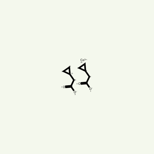 O=C([O-])CC1CC1.O=C([O-])CC1CC1.[Co+2]